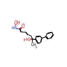 CC(O)(CCCCC(=O)NO)c1ccc(-c2ccccc2)cc1